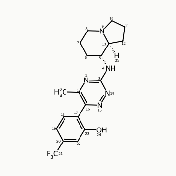 Cc1nc(N[C@@H]2CCCN3CCC[C@@H]23)nnc1-c1ccc(C(F)(F)F)cc1O